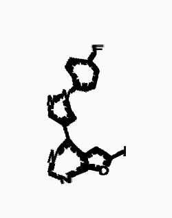 Fc1ccc(-n2cc(-c3ncnc4oc(I)cc34)cn2)cc1